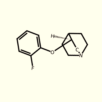 Fc1ccccc1O[C@@H]1CN2CCC1CC2